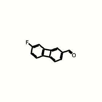 O=Cc1ccc2c(c1)-c1cc(F)ccc1-2